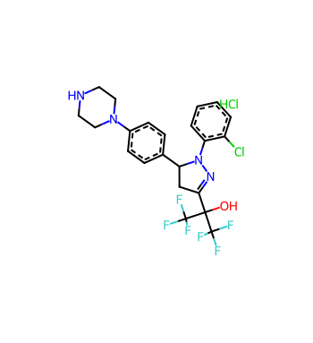 Cl.OC(C1=NN(c2ccccc2Cl)C(c2ccc(N3CCNCC3)cc2)C1)(C(F)(F)F)C(F)(F)F